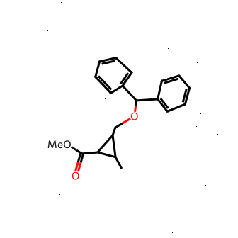 COC(=O)C1C(C)C1COC(c1ccccc1)c1ccccc1